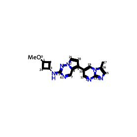 CO[C@H]1C[C@H](Nc2ncc3c(-c4cnc5ncc(C)n5c4)ccn3n2)C1